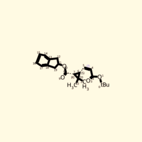 CC(C)(C)OC(=O)/C=C\[C@H]1[C@@H](C(=O)OC2Cc3ccccc3C2)C1(C)C